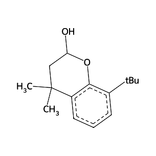 CC(C)(C)c1cccc2c1OC(O)CC2(C)C